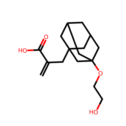 C=C(CC12CC3CC(C1)CC(OCCO)(C3)C2)C(=O)O